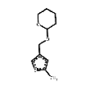 Cc1cc(COC2CCCCO2)cs1